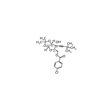 CC1(C)O[C@H]2O[C@H](COC(=O)c3ccc(Cl)cc3)[C@](O)(C#C[Si](C)(C)C)[C@H]2O1